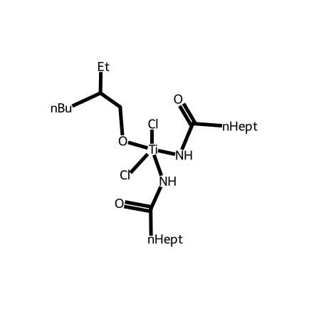 CCCCCCCC(=O)[NH][Ti]([Cl])([Cl])([NH]C(=O)CCCCCCC)[O]CC(CC)CCCC